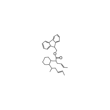 CC=CCC(C)C1CCCCC1C(CC=CC)C(=O)OCC1c2ccccc2-c2ccccc21